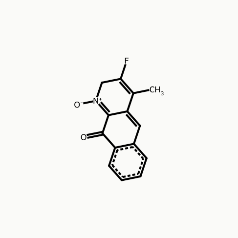 CC1=C(F)C[N+]([O-])=C2C(=O)c3ccccc3C=C12